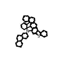 C1=CCC(c2ccccc2-c2ccccc2)(N(c2ccc3c(ccc4ccccc43)c2)c2ccc3c(c2)sc2ccccc23)C(c2ccccc2)=C1